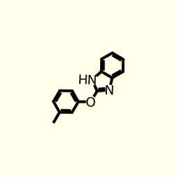 Cc1cccc(Oc2nc3ccccc3[nH]2)c1